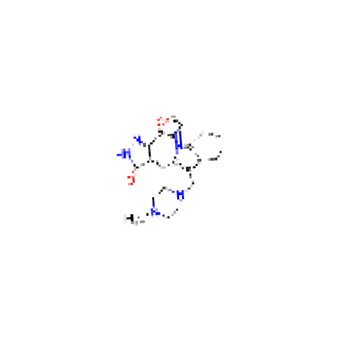 CN1CCN(Cc2c(/C=C3/C(=O)NN=C3c3ccco3)[nH]c3c2CCCC3)CC1